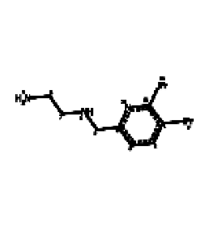 CC(C)c1ccc(CNCCN)nc1C(C)C